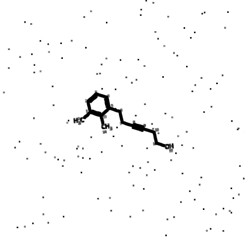 Cc1cccc(CCC#CCCO)c1C